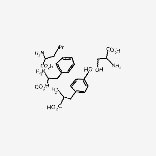 CC(C)CC(N)C(=O)O.NC(CO)C(=O)O.NC(Cc1ccc(O)cc1)C(=O)O.NC(Cc1ccccc1)C(=O)O